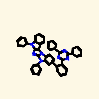 c1ccc(-c2nc(-c3ccccc3)nc(-c3ccccc3-c3ccc4c(c3)n(-c3ccccc3)c3nc5c(c6ccccc6n5-c5ccccc5)n43)n2)cc1